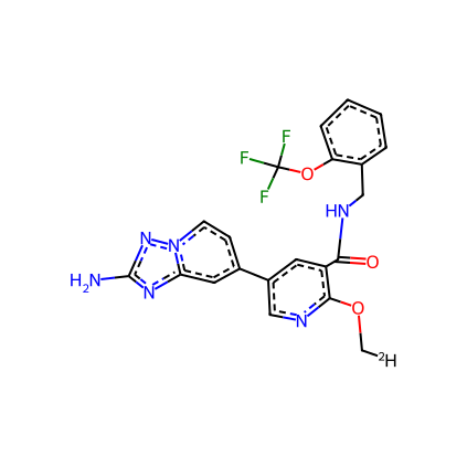 [2H]COc1ncc(-c2ccn3nc(N)nc3c2)cc1C(=O)NCc1ccccc1OC(F)(F)F